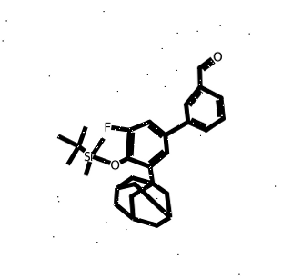 CC(C)(C)[Si](C)(C)Oc1c(F)cc(-c2cccc(C=O)c2)cc1C12CC3CC(CC(C3)C1)C2